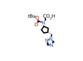 CC(C)(C)OC(=O)N(CC(=O)O)[C@H]1CC[C@@H](Cn2cncn2)C1